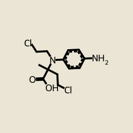 CC(CCCl)(C(=O)O)N(CCCl)c1ccc(N)cc1